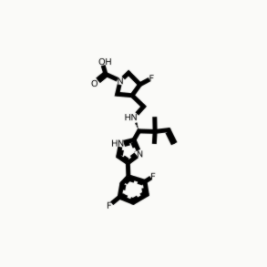 C=CC(C)(C)[C@@H](NCC1CN(C(=O)O)CC1F)c1nc(-c2cc(F)ccc2F)c[nH]1